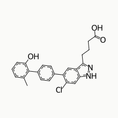 Cc1cccc(O)c1-c1ccc(-c2cc3c(CCCC(=O)O)n[nH]c3cc2Cl)cc1